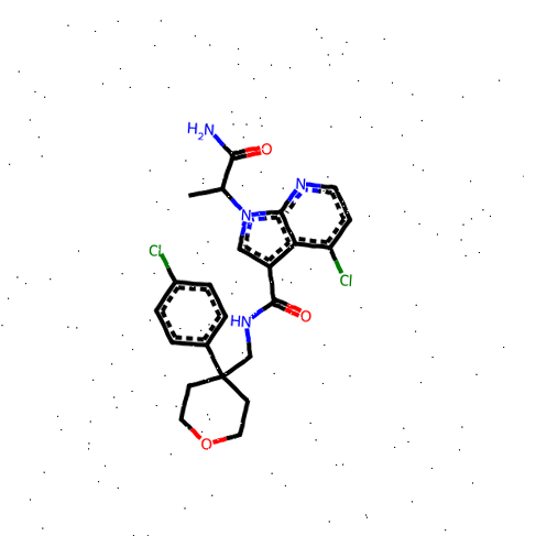 CC(C(N)=O)n1cc(C(=O)NCC2(c3ccc(Cl)cc3)CCOCC2)c2c(Cl)ccnc21